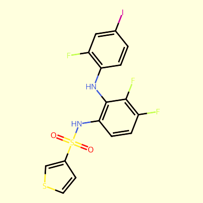 O=S(=O)(Nc1ccc(F)c(F)c1Nc1ccc(I)cc1F)c1ccsc1